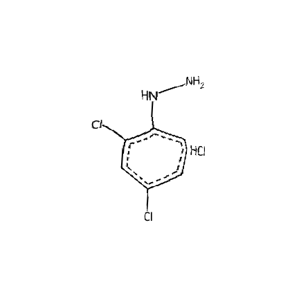 Cl.NNc1ccc(Cl)cc1Cl